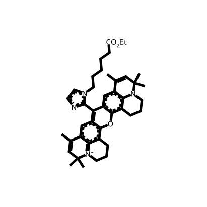 CCOC(=O)CCCCCn1ccnc1C1=c2cc3c4c(c2Oc2c1cc1c5c2CCCN5C(C)(C)C=C1C)CCC[N+]=4C(C)(C)C=C3C